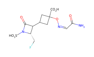 NC(=O)/C=N\OC1(C(=O)O)CC(C2C(=O)N(S(=O)(=O)O)[C@H]2CF)C1